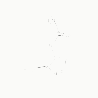 CCOC(=O)c1ncsc1NC(N)=O